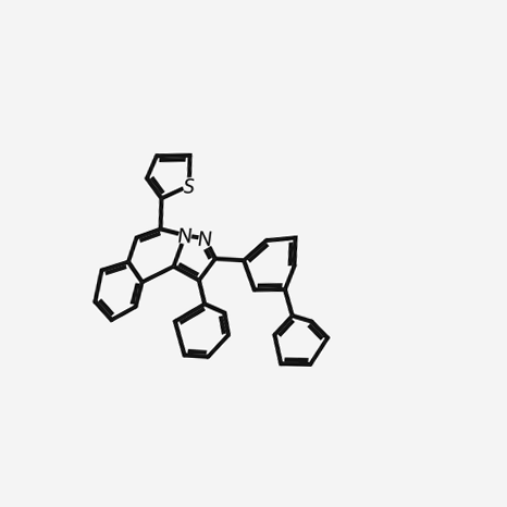 c1ccc(-c2cccc(-c3nn4c(-c5cccs5)cc5ccccc5c4c3-c3ccccc3)c2)cc1